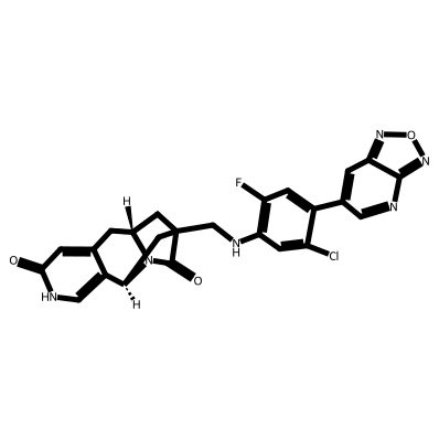 O=C1N2[C@@H]3Cc4cc(=O)[nH]cc4[C@H]2CC1(CNc1cc(Cl)c(-c2cnc4nonc4c2)cc1F)C3